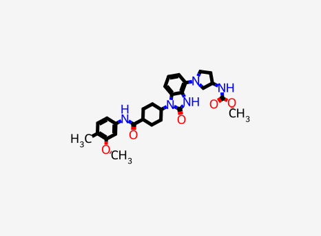 COC(=O)NC1CCN(c2cccc3c2[nH]c(=O)n3C2CCC(C(=O)Nc3ccc(C)c(OC)c3)CC2)C1